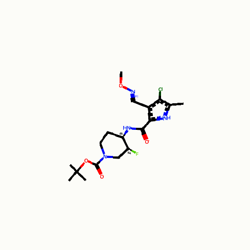 CO/N=C/c1c(C(=O)N[C@@H]2CCN(C(=O)OC(C)(C)C)C[C@@H]2F)[nH]c(C)c1Cl